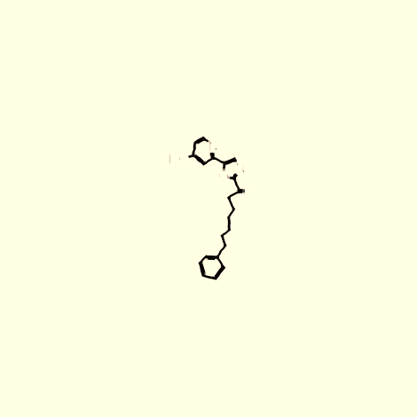 Cc1ccnc(-c2cnc(C(=O)CCCCCCc3ccccc3)o2)c1